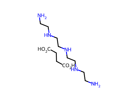 NCCNCCNCCNCCN.O=C(O)CCC(=O)O